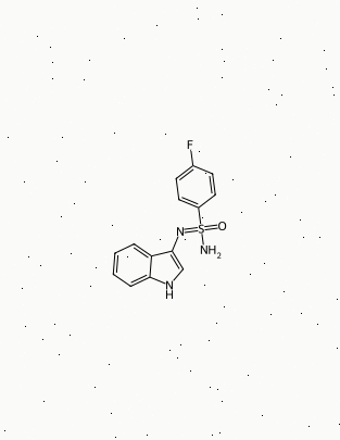 NS(=O)(=Nc1c[nH]c2ccccc12)c1ccc(F)cc1